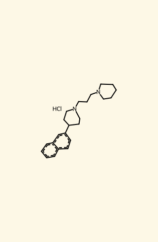 Cl.c1ccc2cc(C3CCN(CCCN4CCCCC4)CC3)ccc2c1